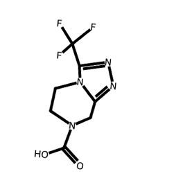 O=C(O)N1CCn2c(nnc2C(F)(F)F)C1